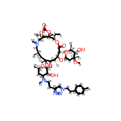 CC[C@H]1OC(=O)[C@H](C)[C@@H](O[C@H]2C[C@@](C)(OC)[C@@H](O)[C@H](C)O2)[C@H](C)[C@@H](O[C@@H]2O[C@H](C)C[C@H](N(C)CCc3cn(CCc4ccc(C)cc4)nn3)[C@H]2O)[C@](C)(O)C[C@@H](C)CN(C)[C@H](C)[C@H]2OC(=O)O[C@@]21C